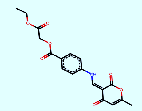 CCOC(=O)COC(=O)c1ccc(NC=C2C(=O)C=C(C)OC2=O)cc1